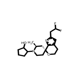 C[C@H]1C[C@@]2(CCN1C1CCCC1O)OCCc1cc(CC(F)F)sc12